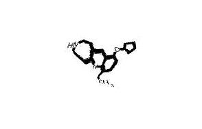 CCc1ccc(OC2CCCC2)c2cc3c(nc12)CCNCC3